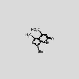 Cc1nn(C(C)(C)C)c2[nH]c(=O)cc(C(=O)O)c12